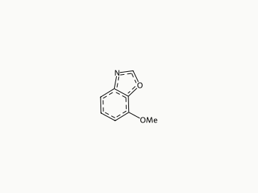 COc1cccc2ncoc12